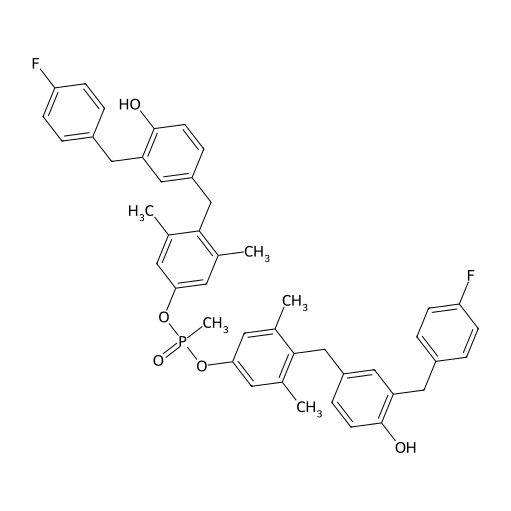 Cc1cc(OP(C)(=O)Oc2cc(C)c(Cc3ccc(O)c(Cc4ccc(F)cc4)c3)c(C)c2)cc(C)c1Cc1ccc(O)c(Cc2ccc(F)cc2)c1